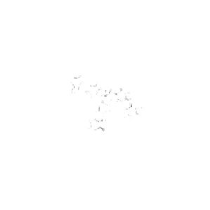 O=P(Oc1ccc(Oc2ccccc2Cl)cc1)(Oc1ccc(Oc2ccccc2Cl)cc1)Oc1ccc(Oc2ccccc2Cl)cc1